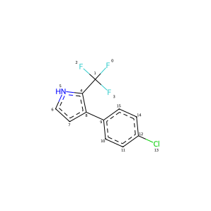 FC(F)(F)c1[nH]ccc1-c1ccc(Cl)cc1